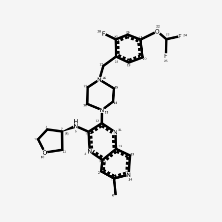 Cc1cc2nc(N[C@@H]3CCOC3)c(N3CCN(Cc4ccc(OC(F)F)cc4F)CC3)nc2cn1